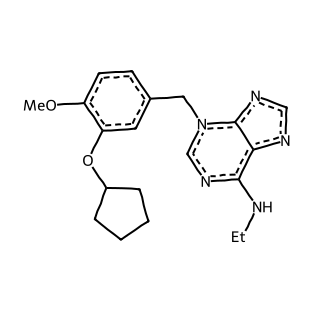 CCNc1ncn(Cc2ccc(OC)c(OC3CCCC3)c2)c2ncnc1-2